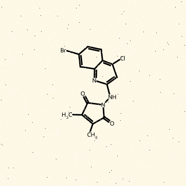 CC1=C(C)C(=O)N(Nc2cc(Cl)c3ccc(Br)cc3n2)C1=O